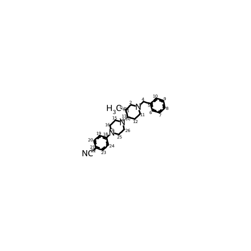 C[C@@H]1CN(Cc2ccccc2)CC[C@@H]1N1CCN(c2ccc(C#N)cc2)CC1